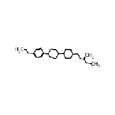 C=C(CC)CCC1CCC(C2CCC(c3ccc(CCC)cc3)CC2)CC1